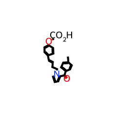 Cc1ccc(C(=O)c2cccn2CC/C=C/c2ccc(OCC(=O)O)cc2)cc1